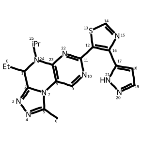 CCC1c2nnc(C)n2-c2cnc(-c3scnc3-c3ccn[nH]3)nc2N1C(C)C